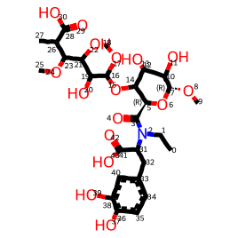 CCN(C(=O)[C@@H]1O[C@@H](OC)C(O)C(O)C1OC(OC)C(O)C(O)C(OC)C(C)C(=O)O)C(Cc1ccc(O)c(O)c1)C(=O)O